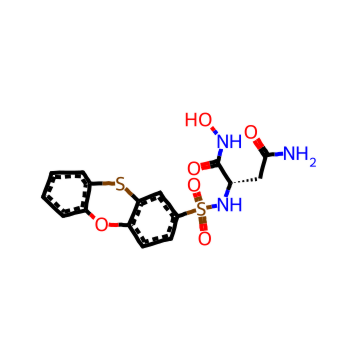 NC(=O)C[C@H](NS(=O)(=O)c1ccc2c(c1)Sc1ccccc1O2)C(=O)NO